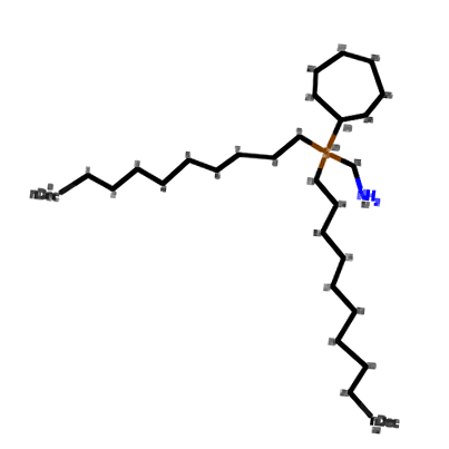 CCCCCCCCCCCCCCCCCCCS(CN)(CCCCCCCCCCCCCCCCCCC)C1CCCCCC1